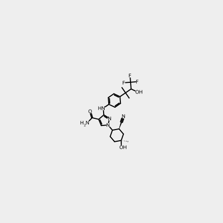 CC(C)(c1ccc(Nc2nn(C3CC[C@](C)(O)C[C@@H]3C#N)cc2C(N)=O)cc1)C(O)C(F)(F)F